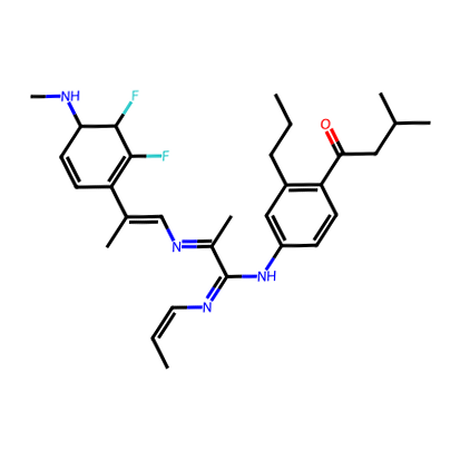 C\C=C/N=C(Nc1ccc(C(=O)CC(C)C)c(CCC)c1)\C(C)=N\C=C(/C)C1=C(F)C(F)C(NC)C=C1